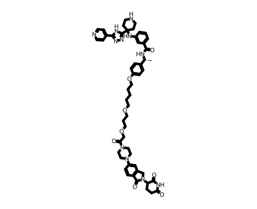 C[C@@H](NC(=O)c1cccc(NC2(c3nnc(-c4ccncc4)[nH]3)CCNCC2)c1)c1ccc(OCCCCCOCCCOCC(=O)N2CCN(c3ccc4c(c3)CN(C3CCC(=O)NC3=O)C4=O)CC2)cc1